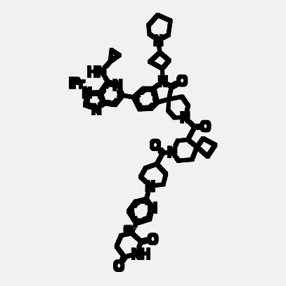 CC(C)n1cnc2cc(-c3ccc4c(c3)N(C3CC(N5CCCCC5)C3)C(=O)C43CCN(C(=O)C4CN(C(=O)C5CCN(c6ccc([C@H]7CCC(=O)NC7=O)cn6)CC5)CCC45CCC5)CC3)nc(NC3CC3)c21